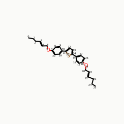 CCC/C=C/COc1ccc(-c2ccc(-c3ccc(OC/C=C/CCC)cc3)s2)cc1